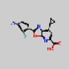 Nc1ccc(-c2nc3c(C4CC4)cc(C(=O)O)nc3o2)c(F)c1